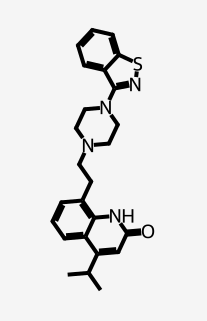 CC(C)c1cc(=O)[nH]c2c(CCN3CCN(c4nsc5ccccc45)CC3)cccc12